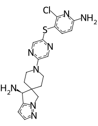 Nc1ccc(Sc2cnc(N3CCC4(CC3)Cn3nccc3[C@H]4N)cn2)c(Cl)n1